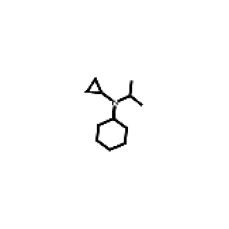 CC(C)N(C1CCCCC1)C1CC1